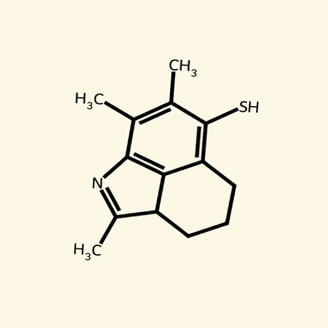 CC1=Nc2c(C)c(C)c(S)c3c2C1CCC3